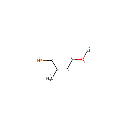 CCOCCC(C)CS